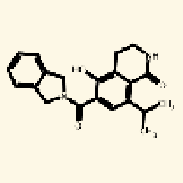 CC(C)c1cc(C(=O)N2Cc3ccccc3C2)c(O)c2c1C(=O)NCC2